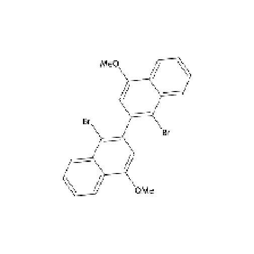 COc1cc(-c2cc(OC)c3ccccc3c2Br)c(Br)c2ccccc12